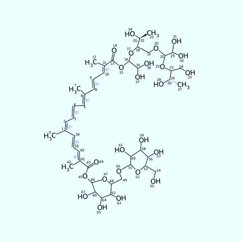 CC(=C/C=C/C=C(C)/C=C/C=C(\C)C(=O)OC(OC(COC(OC(CO)[C@H](C)O)C(O)O)[C@H](C)O)C(O)O)/C=C/C=C(\C)C(=O)OC1OC(COC2OC(CO)C(O)C(O)C2O)C(O)C(O)C1O